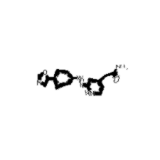 NC(=O)Cc1cc[nH]c(=NNc2ccc(-c3cnco3)cc2)c1